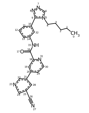 CCCCCn1cnnc1-c1cccc(NC(=O)c2cc(-c3cncc(C#N)c3)ccn2)c1